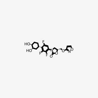 O=C1O[C@@H](COc2ccon2)CN1c1cc(F)c([C@H]2CC[C@@H](O)[C@@H](O)C2)c(F)c1F